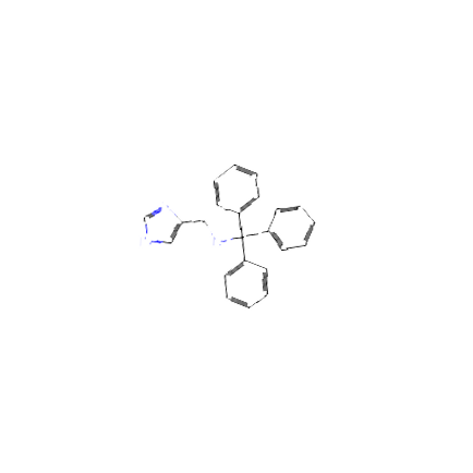 c1ccc(C(NCc2c[nH]cn2)(c2ccccc2)c2ccccc2)cc1